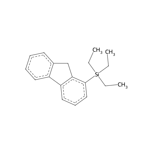 CC[Si](CC)(CC)c1cccc2c1Cc1ccccc1-2